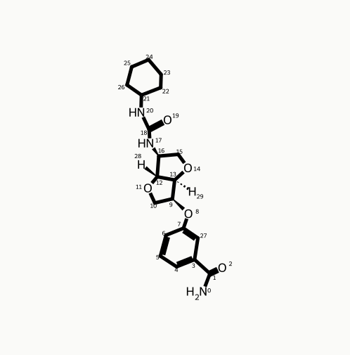 NC(=O)c1cccc(O[C@H]2CO[C@H]3[C@H]2OC[C@@H]3NC(=O)NC2CCCCC2)c1